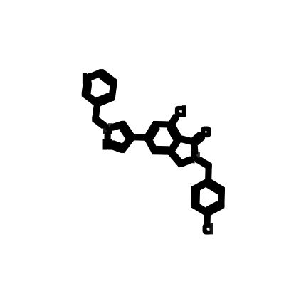 O=C1c2c(Cl)cc(-c3cnn(Cc4cccnc4)c3)cc2CN1Cc1ccc(Cl)cc1